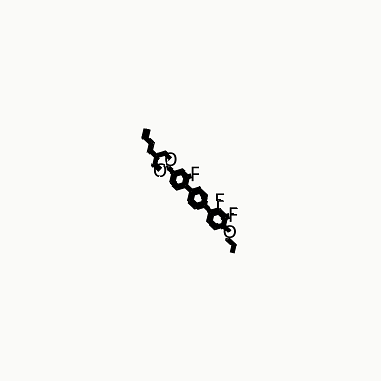 C=CCCC1COC(c2ccc(-c3ccc(-c4ccc(OCCC)c(F)c4F)cc3)c(F)c2)OC1